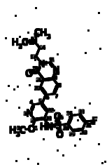 COc1ncc(-c2ccc3ncn(CCN(C)C)c(=O)c3c2)cc1NS(=O)(=O)c1ccc(F)cc1